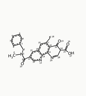 CN(Cc1ccccc1)C(=O)c1cnc2c3c(c(F)cc2c1)C(=O)C(C(=O)O)C=N3